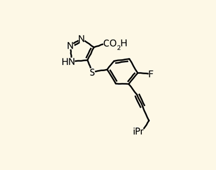 CC(C)CC#Cc1cc(Sc2[nH]nnc2C(=O)O)ccc1F